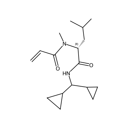 C=CC(=O)N(C)[C@H](CC(C)C)C(=O)NC(C1CC1)C1CC1